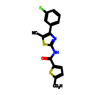 N#Cc1sc(NC(=O)c2ccc(C(=O)O)s2)nc1-c1cccc(F)c1